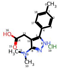 Cc1ccc(-c2[nH]nc(N(C)C)c2CC(=O)O)cc1.Cl